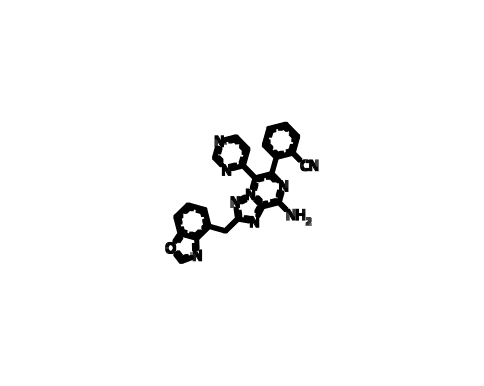 N#Cc1ccccc1-c1nc(N)c2nc(Cc3cccc4ocnc34)nn2c1-c1ccncn1